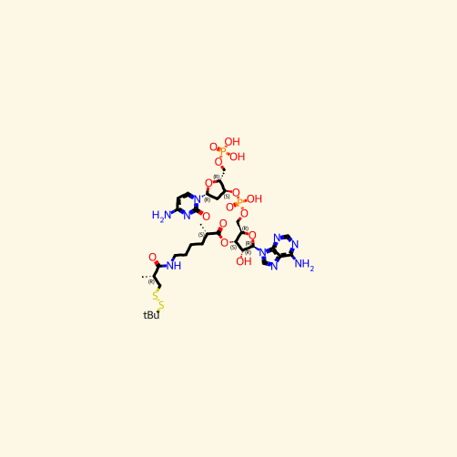 C[C@@H](CSSC(C)(C)C)C(=O)NCCCC[C@H](C)C(=O)O[C@H]1[C@@H](O)[C@H](n2cnc3c(N)ncnc32)O[C@@H]1COP(=O)(O)O[C@H]1C[C@H](n2ccc(N)nc2=O)O[C@@H]1COP(=O)(O)O